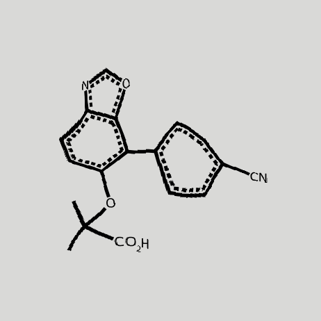 CC(C)(Oc1ccc2ncoc2c1-c1ccc(C#N)cc1)C(=O)O